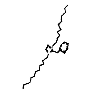 CCCCCCCCCCCn1cc[n+](CCCCCCCCCCC)c1Cc1ccccc1